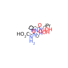 CC(C)C[C@H](NC(=O)[C@H](Cc1ccccc1)NC(=O)[C@@H]1CCCN1C(=O)C(N)CC(=O)O)B(O)O